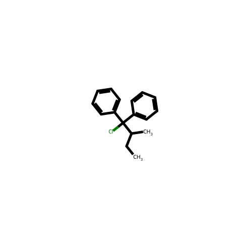 CCC(C)C(Cl)(c1ccccc1)c1ccccc1